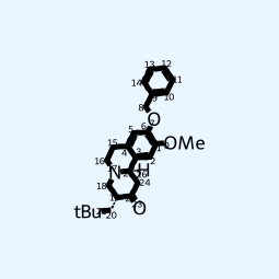 COc1cc2c(cc1OCc1ccccc1)CCN1C[C@@H](CC(C)(C)C)C(=O)C[C@H]21